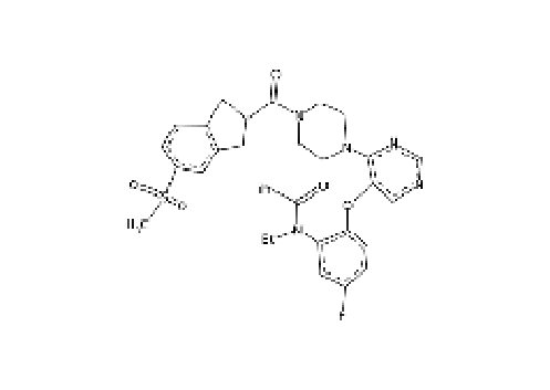 CCN(C(=O)C(C)C)c1cc(F)ccc1Oc1cncnc1N1CCN(C(=O)C2Cc3ccc(S(C)(=O)=O)cc3C2)CC1